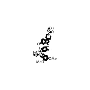 COc1ccc(CN(c2ncns2)S(=O)(=O)c2cc(F)c(OCCC3(c4ccc(Cl)cc4)CCN(C(=O)OC(C)(C)C)CC3)cc2F)c(OC)c1